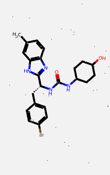 Cc1ccc2nc([C@@H](Cc3ccc(Br)cc3)NC(=O)NC3CCC(O)CC3)[nH]c2c1